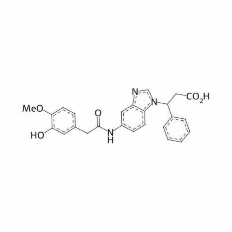 COc1ccc(CC(=O)Nc2ccc3c(c2)ncn3C(CC(=O)O)c2ccccc2)cc1O